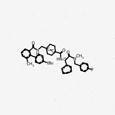 Cc1cccc(C(=O)NCC23CCC(C(=O)N[C@H](C(=O)N(C)Cc4ccc(F)cc4)c4ccccc4)(CC2)CC3)c1-c1ccc(C(C)(C)C)cc1